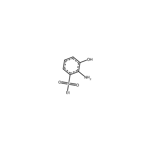 CCS(=O)(=O)c1cccc(O)c1N